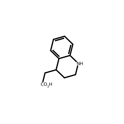 O=C(O)CC1CCNc2ccccc21